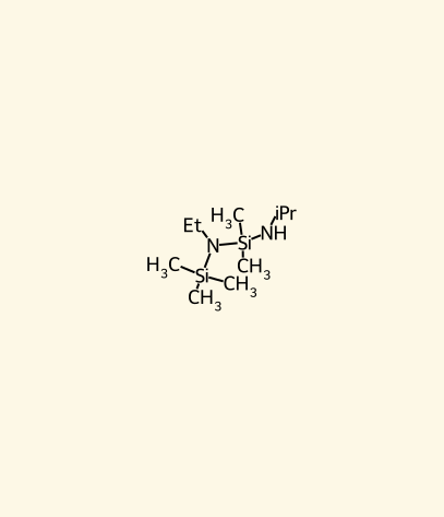 CCN([Si](C)(C)C)[Si](C)(C)NC(C)C